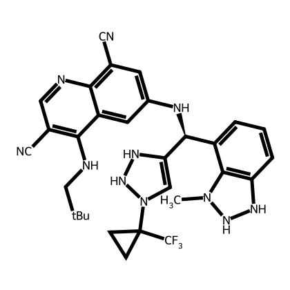 CN1NNc2cccc([C@H](Nc3cc(C#N)c4ncc(C#N)c(NCC(C)(C)C)c4c3)C3=CN(C4(C(F)(F)F)CC4)NN3)c21